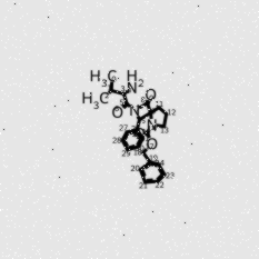 CC(C)C(N)C(=O)N1C(=O)C2(CCCN2C(=O)OCc2ccccc2)C1c1ccccc1